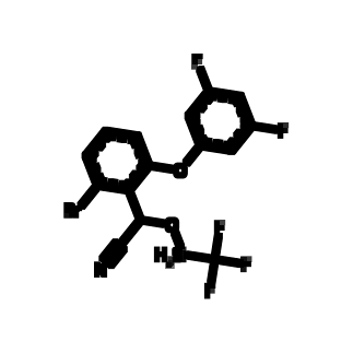 N#CC(O[SiH2]C(F)(F)F)c1c(Br)cccc1Oc1cc(F)cc(F)c1